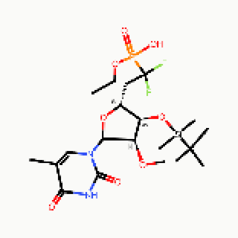 CCOP(=O)(O)C(F)(F)C[C@H]1OC(n2cc(C)c(=O)[nH]c2=O)[C@H](OC)[C@@H]1O[Si](C)(C)C(C)(C)C